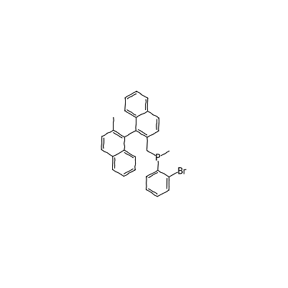 Cc1ccc2ccccc2c1-c1c(CP(C)c2ccccc2Br)ccc2ccccc12